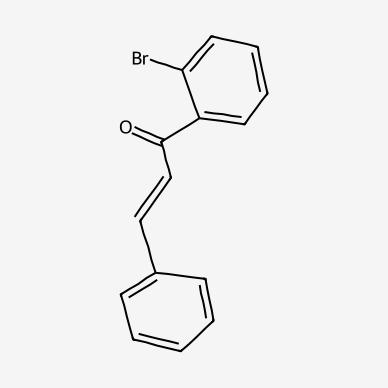 O=C(C=Cc1ccccc1)c1ccccc1Br